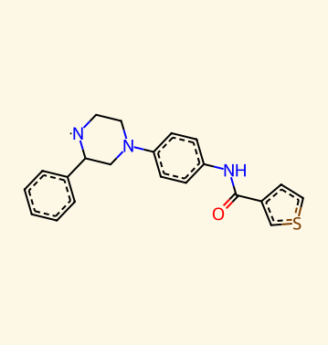 O=C(Nc1ccc(N2CC[N]C(c3ccccc3)C2)cc1)c1ccsc1